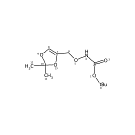 CC(C)(C)OC(=O)NOCC1=COC(C)(C)O1